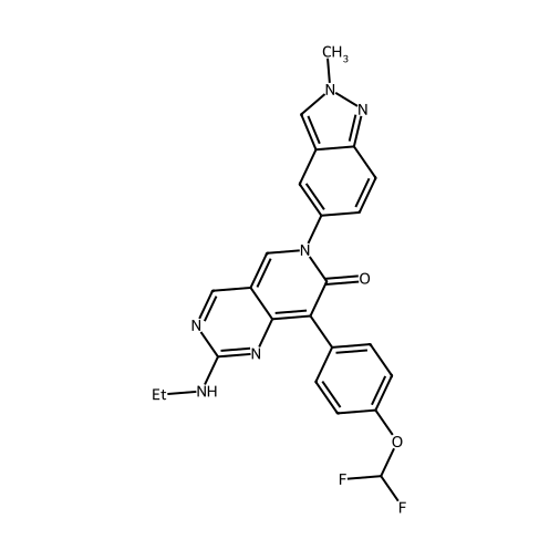 CCNc1ncc2cn(-c3ccc4nn(C)cc4c3)c(=O)c(-c3ccc(OC(F)F)cc3)c2n1